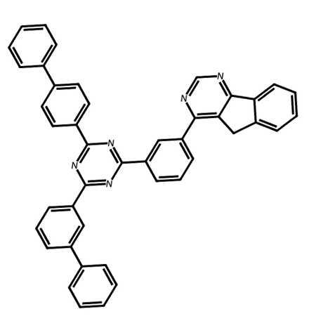 c1ccc(-c2ccc(-c3nc(-c4cccc(-c5ccccc5)c4)nc(-c4cccc(-c5ncnc6c5Cc5ccccc5-6)c4)n3)cc2)cc1